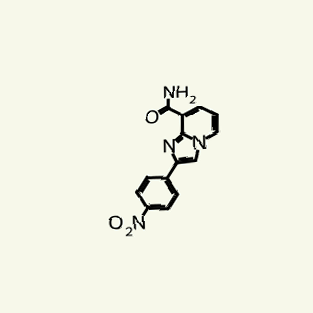 NC(=O)c1cccn2cc(-c3ccc([N+](=O)[O-])cc3)nc12